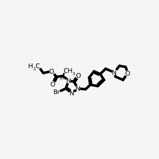 CCOC(=O)[C@@H](C)n1c(Br)nn(Cc2ccc(CN3CCOCC3)cc2)c1=O